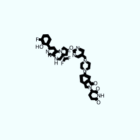 O=C1CCC(N2Cc3ccc(N4CCN(Cc5cnc(O[C@H]6CN7c8cc(-c9cccc(F)c9O)nnc8NC[C@]7(C(F)F)C6)nc5)CC4)cc3C2=O)C(=O)N1